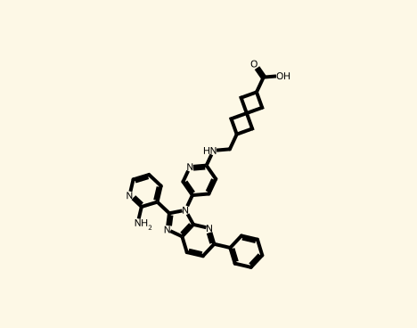 Nc1ncccc1-c1nc2ccc(-c3ccccc3)nc2n1-c1ccc(NCC2CC3(C2)CC(C(=O)O)C3)nc1